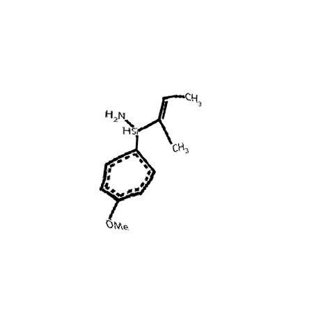 C/C=C(\C)[SiH](N)c1ccc(OC)cc1